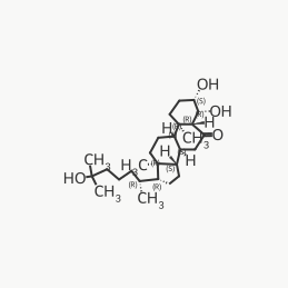 C[C@H](CCCC(C)(C)O)[C@H]1CC[C@H]2[C@@H]3CC(=O)[C@H]4[C@@H](O)[C@@H](O)CC[C@]4(C)[C@H]3CC[C@]12C